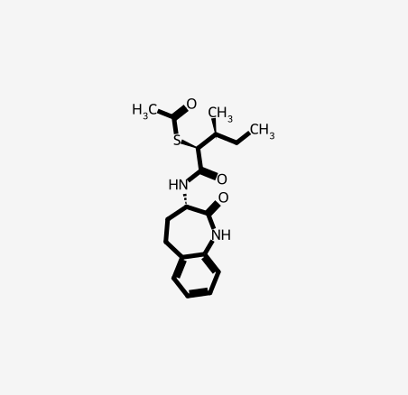 CC[C@H](C)[C@H](SC(C)=O)C(=O)N[C@H]1CCc2ccccc2NC1=O